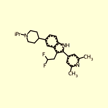 Cc1cc(-c2[nH]c3ccc(C4CCN(C(C)C)CC4)cc3c2CC(F)F)cc(C)n1